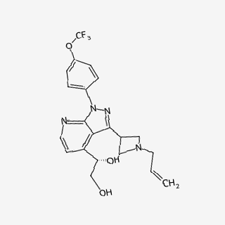 C=CCN1CC(c2nn(-c3ccc(OC(F)(F)F)cc3)c3nccc([C@H](O)CO)c23)C1